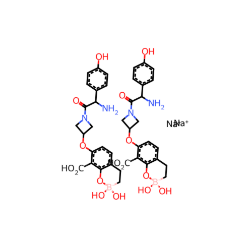 NC(C(=O)N1CC(Oc2ccc3c(c2C(=O)O)O[B-](O)(O)CC3)C1)c1ccc(O)cc1.NC(C(=O)N1CC(Oc2ccc3c(c2C(=O)O)O[B-](O)(O)CC3)C1)c1ccc(O)cc1.[Na+].[Na+]